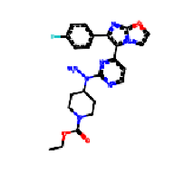 CCOC(=O)N1CCC(N(N)c2nccc(-c3c(-c4ccc(F)cc4)nc4occn34)n2)CC1